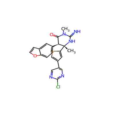 CN1C(=N)N[C@](C)(c2cc(-c3cnc(Cl)nc3)cs2)[C@@H](c2ccc3occc3c2)C1=O